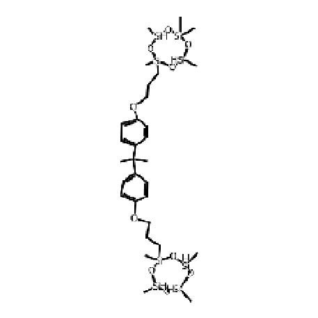 C[SiH]1O[SiH](C)O[Si](C)(CCCOc2ccc(C(C)(C)c3ccc(OCCC[Si]4(C)O[SiH](C)O[Si](C)(C)O[SiH](C)O4)cc3)cc2)O[SiH](C)O1